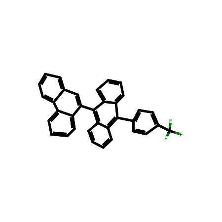 FC(F)(F)c1ccc(-c2c3ccccc3c(-c3cc4ccccc4c4ccccc34)c3ccccc23)cc1